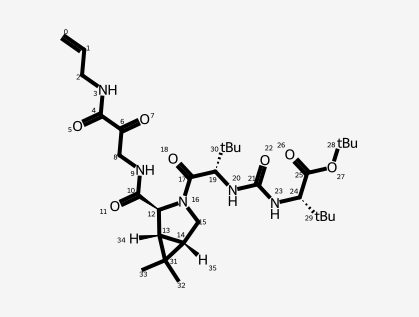 C=CCNC(=O)C(=O)CNC(=O)[C@@H]1[C@@H]2[C@H](CN1C(=O)[C@@H](NC(=O)N[C@H](C(=O)OC(C)(C)C)C(C)(C)C)C(C)(C)C)C2(C)C